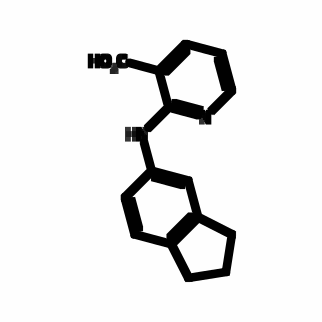 O=C(O)c1cccnc1Nc1ccc2c(c1)CCC2